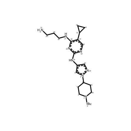 CC(C)(C)N1CCC(n2cc(Nc3ncc(C4CC4)c(NCCCN)n3)cn2)CC1